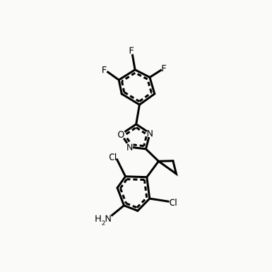 Nc1cc(Cl)c(C2(c3noc(-c4cc(F)c(F)c(F)c4)n3)CC2)c(Cl)c1